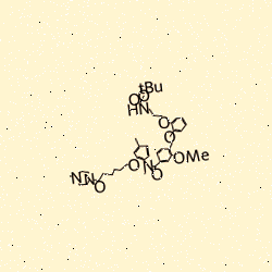 COc1cc(C(=O)N(C)c2ccc(C)cc2OCCCCCC(=O)N2CCN(C)CC2)ccc1COc1ccccc1OCCCNC(=O)OC(C)(C)C